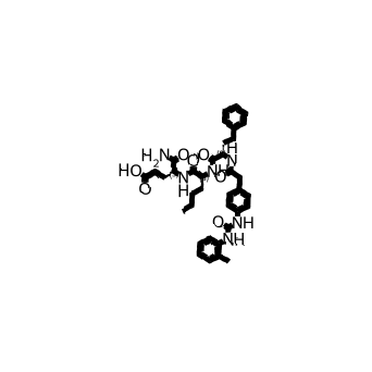 CCCC[C@H](NC(=O)[C@H](CCc1ccccc1)NC(=O)Cc1ccc(NC(=O)Nc2ccccc2C)cc1)C(=O)N[C@@H](CCC(=O)O)C(N)=O